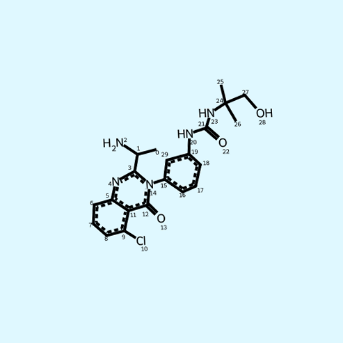 CC(N)c1nc2cccc(Cl)c2c(=O)n1-c1cccc(NC(=O)NC(C)(C)CO)c1